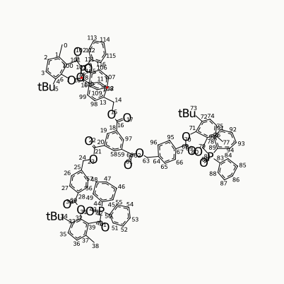 Cc1ccc(C(C)(C)C)c(OC(=O)c2ccc(COC(=O)c3cc(C(=O)OCc4ccc(C(=O)Oc5c(C(C)(C)C)ccc(C)c5C(=O)P(=O)(c5ccccc5)c5ccccc5)cc4)cc(C(=O)OCc4ccc(C(=O)Oc5c(C(C)(C)C)ccc(C)c5C(=O)P(=O)(c5ccccc5)c5ccccc5)cc4)c3)cc2)c1C(=O)P(=O)(c1ccccc1)c1ccccc1